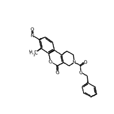 Cc1c(N=O)ccc2c3c(c(=O)oc12)CN(C(=O)OCc1ccccc1)CC3